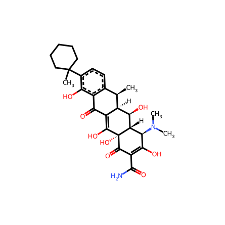 C[C@@H]1c2ccc(C3(C)CCCCC3)c(O)c2C(=O)C2=C(O)[C@]3(O)C(=O)C(C(N)=O)=C(O)[C@H](N(C)C)[C@H]3[C@H](O)[C@@H]21